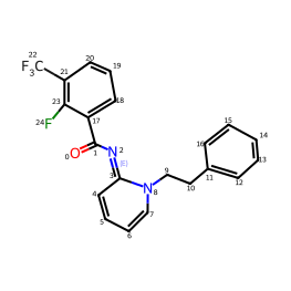 O=C(/N=c1\ccccn1CCc1ccccc1)c1cccc(C(F)(F)F)c1F